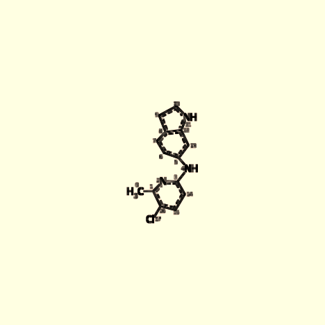 Cc1nc(Nc2ccc3cc[nH]c3c2)ccc1Cl